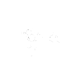 C=C/C=C\C(=C/N)CCNc1nc(C2=CCCC=C2)nc2[nH]ccc12